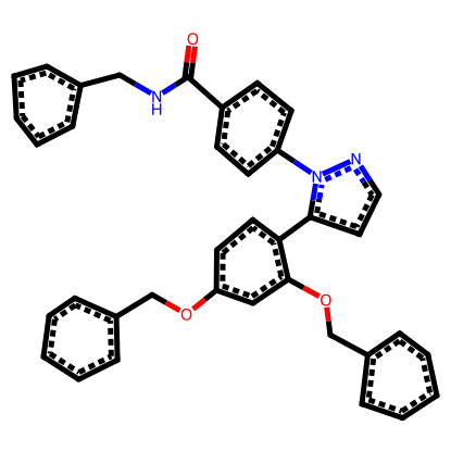 O=C(NCc1ccccc1)c1ccc(-n2nccc2-c2ccc(OCc3ccccc3)cc2OCc2ccccc2)cc1